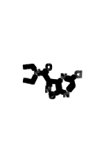 CCN(CC)C(=O)c1noc2ncc(Cl)nc12